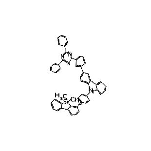 C[Si]1(C)c2ccccc2-c2cccc(-c3ccc(-n4c5ccccc5c5cc(-c6cccc(-c7nc(-c8ccccc8)nc(-c8ccccc8)n7)c6)ccc54)cc3)c21